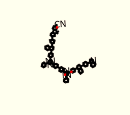 CC1(C)c2cc(C#N)ccc2-c2ccc(-c3ccc(-c4ccc(-c5ccc(-c6nc(-c7ccccc7)nc(-c7ccc(-c8ccc(-c9nc(-c%10ccccc%10)nc(-c%10ccc(-c%11ccc(-c%12ccc(-c%13ccnc%14ccccc%13%14)cc%12)c%12ccccc%11%12)cc%10)n9)cc8)cc7)n6)cc5)c5ccccc45)cc3)cc21